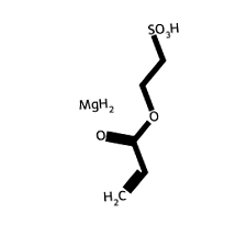 C=CC(=O)OCCS(=O)(=O)O.[MgH2]